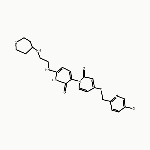 O=c1[nH]c(NCCNC2CCOCC2)ccc1-n1ccc(OCc2ccc(Cl)cn2)cc1=O